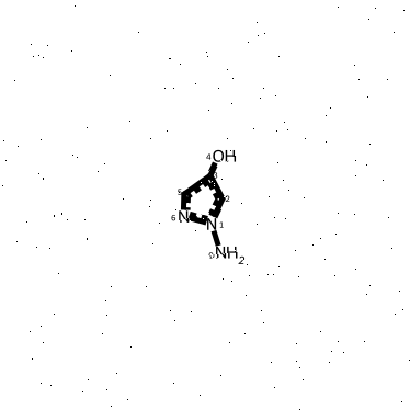 Nn1cc(O)cn1